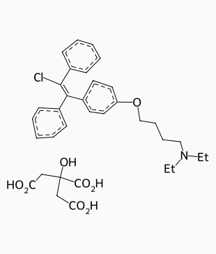 CCN(CC)CCCCOc1ccc(/C(=C(/Cl)c2ccccc2)c2ccccc2)cc1.O=C(O)CC(O)(CC(=O)O)C(=O)O